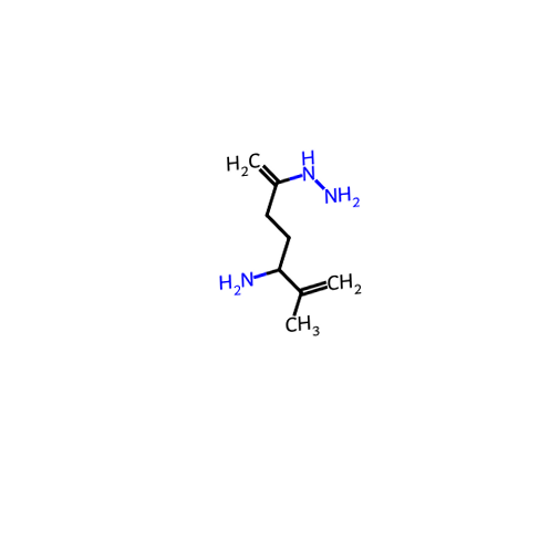 C=C(CCC(N)C(=C)C)NN